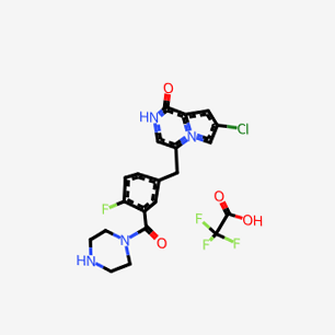 O=C(O)C(F)(F)F.O=C(c1cc(Cc2c[nH]c(=O)c3cc(Cl)cn23)ccc1F)N1CCNCC1